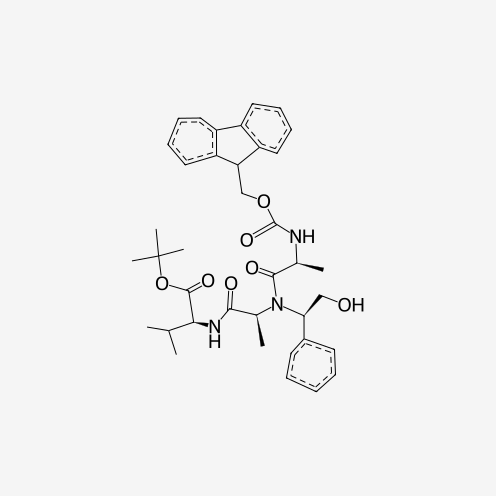 CC(C)[C@H](NC(=O)[C@H](C)N(C(=O)[C@H](C)NC(=O)OCC1c2ccccc2-c2ccccc21)[C@@H](CO)c1ccccc1)C(=O)OC(C)(C)C